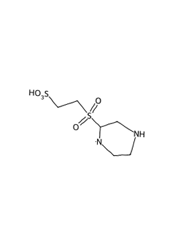 O=S(=O)(O)CCS(=O)(=O)C1CNCC[N]1